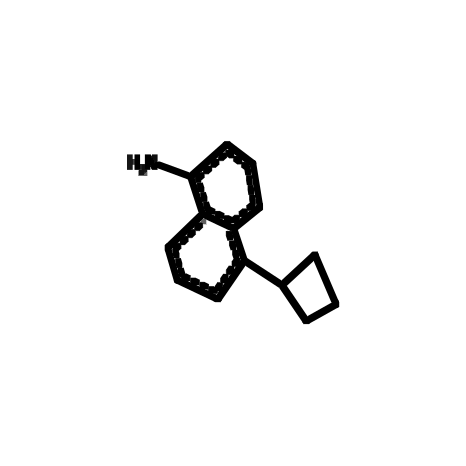 Nc1cccc2c(C3CCC3)cccc12